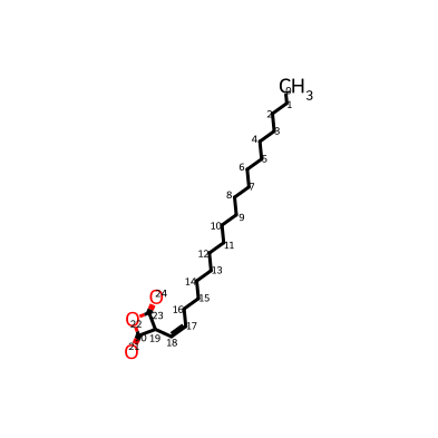 CCCCCCCCCCCCCCCCC/C=C\C1C(=O)OC1=O